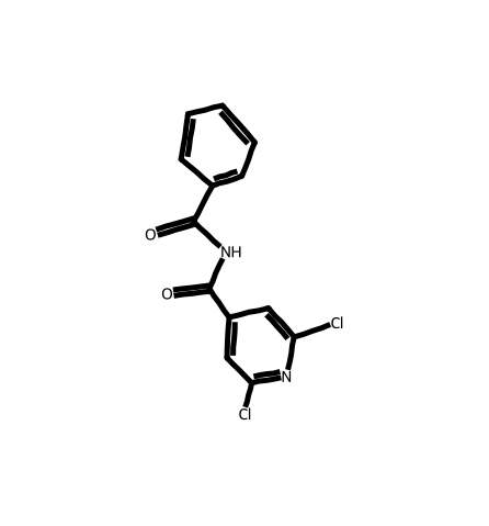 O=C(NC(=O)c1cc(Cl)nc(Cl)c1)c1ccccc1